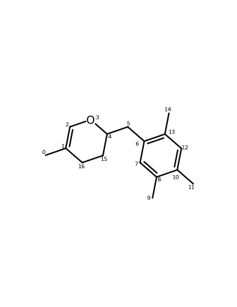 CC1=COC(Cc2cc(C)c(C)cc2C)CC1